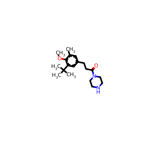 COc1c(C)cc(CCC(=O)N2CCNCC2)cc1C(C)(C)C